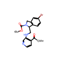 COC(=O)c1ccncc1NCC1c2ccc(Br)cc2CN1C(=O)OC(C)(C)C